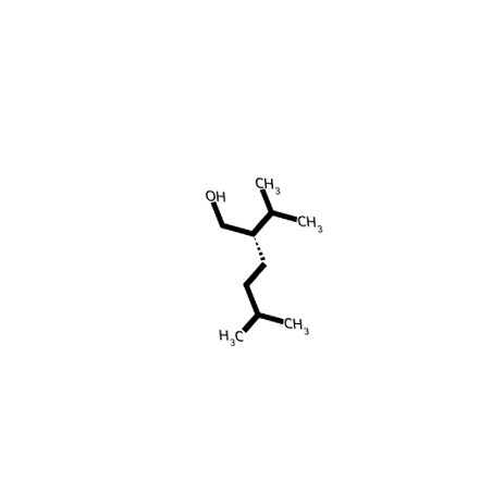 CC(C)CC[C@H](CO)C(C)C